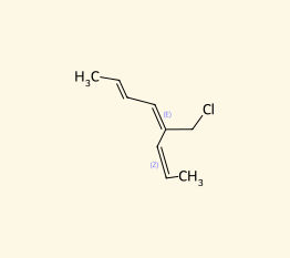 CC=C/C=C(\C=C/C)CCl